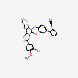 CCc1cc2c(=O)n(CC(=O)c3ccc(OC)c(Br)c3)c(=O)n(Cc3ccc(-c4ccccc4C#N)cc3)c2s1